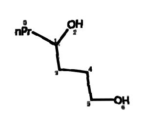 CCC[C](O)CCCO